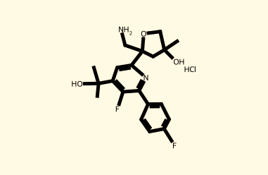 CC1(O)COC(CN)(c2cc(C(C)(C)O)c(F)c(-c3ccc(F)cc3)n2)C1.Cl